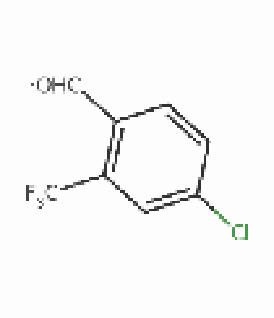 O=[C]c1ccc(Cl)cc1C(F)(F)F